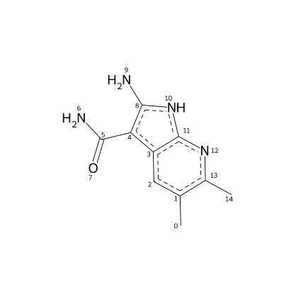 Cc1cc2c(C(N)=O)c(N)[nH]c2nc1C